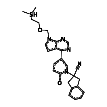 C[SiH](C)CCOCn1ccc2c(-c3ccc(=O)n(C4(C#N)Cc5ccccc5C4)c3)ncnc21